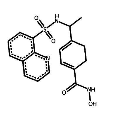 CC(NS(=O)(=O)c1cccc2cccnc12)C1=CC=C(C(=O)NO)CC1